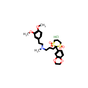 COc1ccc(CCN(C)CCCC2(c3ccc4c(c3)OCCO4)S(=O)(=O)CCCS2(=O)=O)cc1OC.Cl